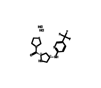 Cl.Cl.O=C([C@@H]1C[C@H](Nc2ccc(C(F)(F)F)cn2)CN1)N1CCSC1